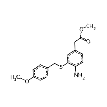 COC(=O)Cc1ccc(N)c(SCc2ccc(OC)cc2)c1